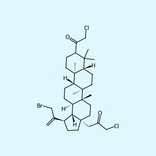 C=C(CBr)[C@@H]1CC[C@]2(CC(=O)CCl)CC[C@]3(C)[C@H](CC[C@@H]4[C@@]5(C)CCC(C(=O)CCl)C(C)(C)[C@@H]5CC[C@]43C)[C@@H]12